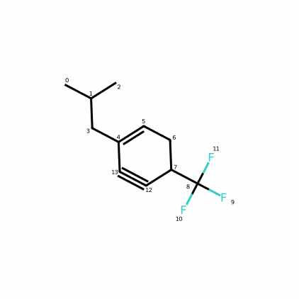 CC(C)CC1=CCC(C(F)(F)F)C#C1